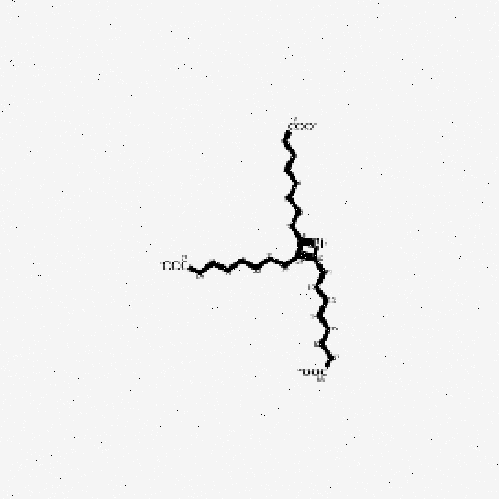 O=C([O-])CCCCCCC[C]1=[Bi][C](CCCCCCCC(=O)[O-])=C1CCCCCCCC(=O)[O-]